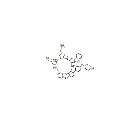 CN1C(=O)[C@H](CCCCN)NC(=O)[C@H](CCCN)NCc2cccnc2Sc2c(Cl)ccc(-c3ccc(OC4CCNCC4)cc3)c2CNC(=O)[C@@H]1Cc1c[nH]c2ccccc12